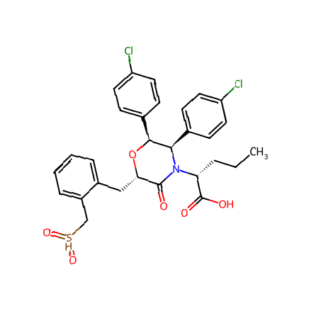 CCC[C@H](C(=O)O)N1C(=O)[C@H](Cc2ccccc2C[SH](=O)=O)O[C@@H](c2ccc(Cl)cc2)[C@H]1c1ccc(Cl)cc1